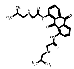 CC(C)CNCC(=O)Nc1cccc2c1C(=O)c1c(NC(=O)CNCC(C)C)cccc1C2=O